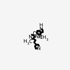 Cc1ncc(C#N)c(Nc2ccc3[nH]ccc3c2C)c1C=Cc1ccncc1